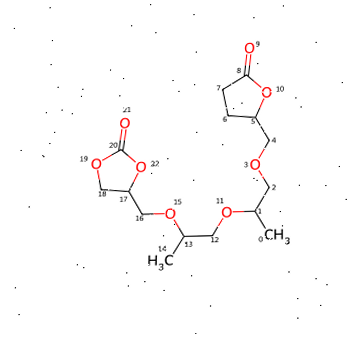 CC(COCC1CCC(=O)O1)OCC(C)OCC1COC(=O)O1